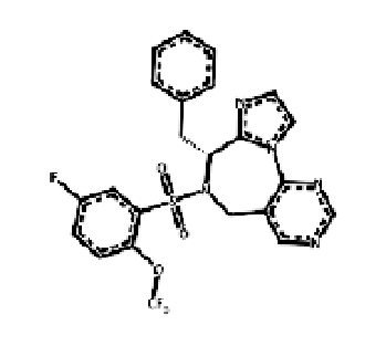 O=S(=O)(c1cc(F)ccc1OC(F)(F)F)N1Cc2cncnc2-n2ccnc2[C@H]1Cc1ccccc1